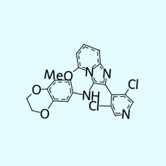 COc1cccc2nc(-c3c(Cl)cncc3Cl)c(Nc3ccc4c(c3)OCCO4)n12